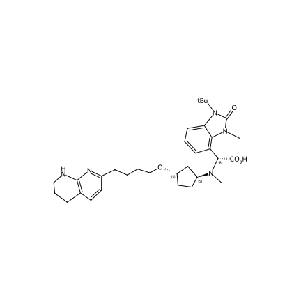 CN([C@H]1CC[C@H](OCCCCc2ccc3c(n2)NCCC3)C1)[C@@H](C(=O)O)c1cccc2c1n(C)c(=O)n2C(C)(C)C